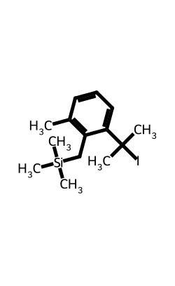 Cc1cccc(C(C)(C)I)c1C[Si](C)(C)C